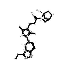 CCc1nnc2ccc(-n3nc(C)c(CCC(=O)N4CC5CC[C@H]4C5)c3C)nn12